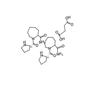 NC(=O)C1CCCCCN1C(=O)[C@@H]1CCCN1.NC(=O)C1CCCCCN1C(=O)[C@@H]1CCCN1.O=C(O)CCC(=O)O